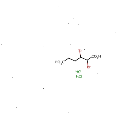 Cl.Cl.O=C(O)CCC(Br)C(Br)C(=O)O